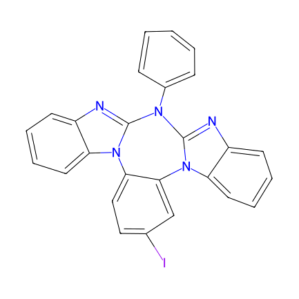 Ic1ccc2c(c1)n1c3ccccc3nc1n(-c1ccccc1)c1nc3ccccc3n21